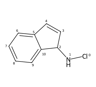 ClNC1C=Cc2ccccc21